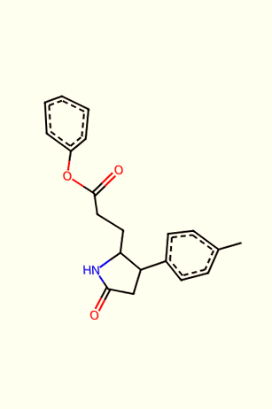 Cc1ccc(C2CC(=O)NC2CCC(=O)Oc2ccccc2)cc1